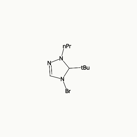 CCCN1N=CN(Br)C1C(C)(C)C